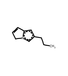 CCCc1cc2n(c1)CC=C2